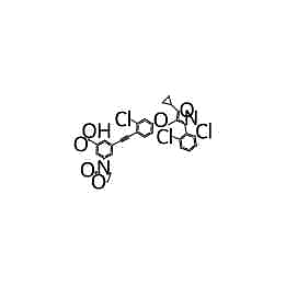 O=C(O)c1cc(C#Cc2ccc(OCc3c(-c4c(Cl)cccc4Cl)noc3C3CC3)cc2Cl)cc(N2CCOC2=O)c1